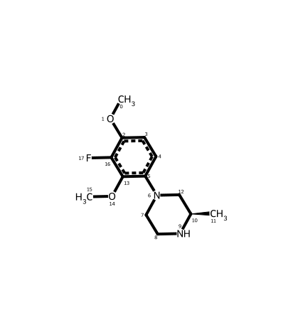 COc1ccc(N2CCN[C@H](C)C2)c(OC)c1F